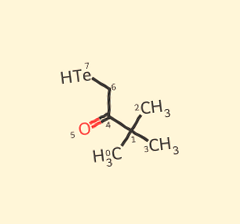 CC(C)(C)C(=O)C[TeH]